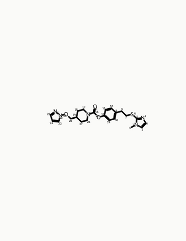 Cn1ccnc1SCCc1ccc(OC(=O)N2CCC(COn3cccn3)CC2)cc1